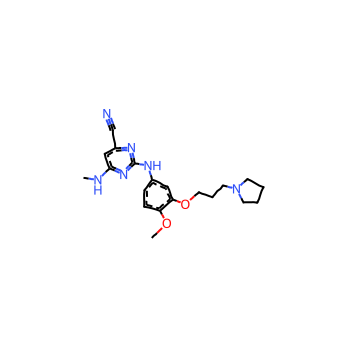 CNc1cc(C#N)nc(Nc2ccc(OC)c(OCCCN3CCCC3)c2)n1